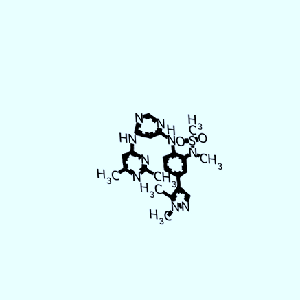 Cc1cc(Nc2cc(Nc3ccc(-c4cnn(C)c4C)cc3N(C)S(C)(=O)=O)ncn2)nc(C)n1